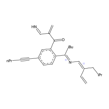 C=C/C(=C\N=C(\c1ccc(C#CCCC)cc1C(=O)C(=C)C=N)C(C)CC)CC(C)C